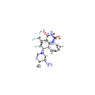 CCC1CCN(C2C(F)=C(C(F)F)c3c(n(C4CC4)c(=O)[nH]c3=O)C2OC)CC1N